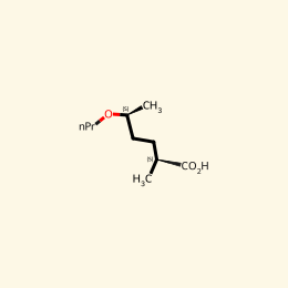 CCCO[C@@H](C)CC[C@H](C)C(=O)O